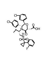 CC(C)[C@@H](CNS(=O)(=O)C1(c2ccccc2F)CC1)N1C(=O)[C@@H](CC(=O)O)O[C@H](c2cccc(Cl)c2)[C@H]1c1ccc(Cl)cc1